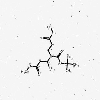 COC(=O)CCN(C(=O)OC(C)(C)C)[C@@H](C)CC(=O)OC